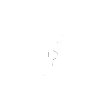 O=C(O)C1(Oc2ccc(CCCI)cc2)CCCC1